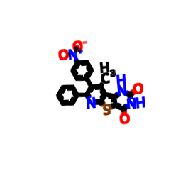 Cc1c(-c2ccc([N+](=O)[O-])cc2)c(-c2ccccc2)nc2sc3c(=O)[nH]c(=O)[nH]c3c12